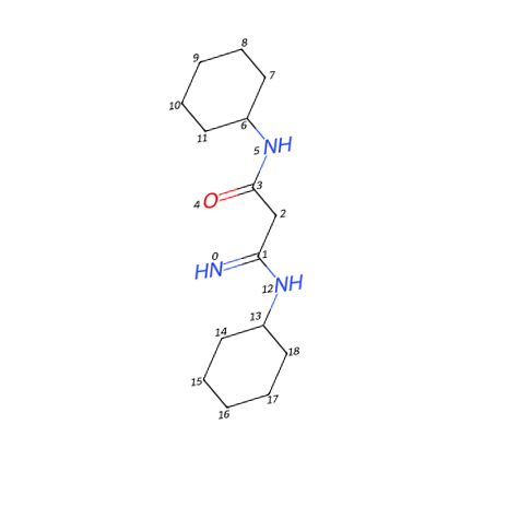 N=C(CC(=O)NC1CCCCC1)NC1CCCCC1